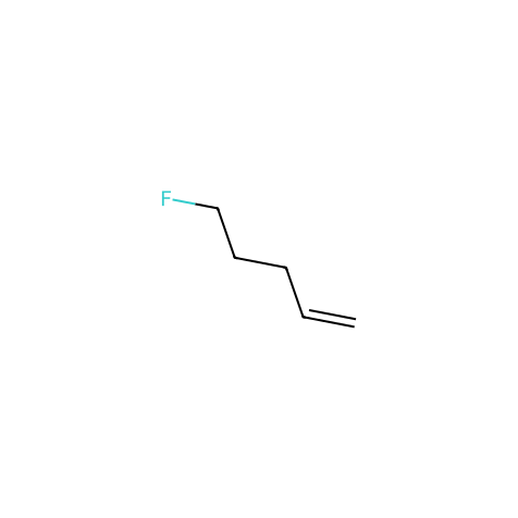 C=CCCCF